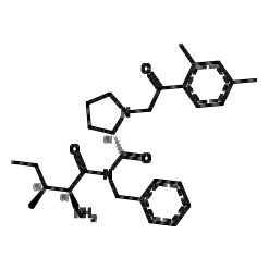 CC[C@H](C)[C@H](N)C(=O)N(Cc1ccccc1)C(=O)[C@@H]1CCCN1CC(=O)c1ccc(C)cc1C